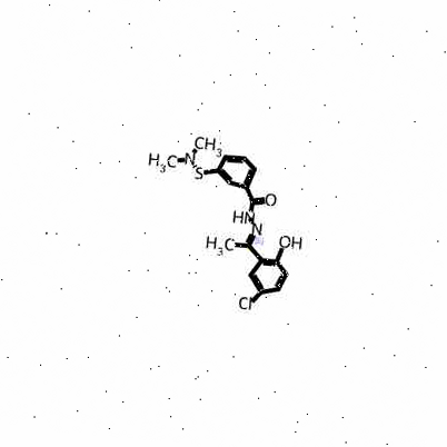 C/C(=N\NC(=O)c1cccc(SN(C)C)c1)c1cc(Cl)ccc1O